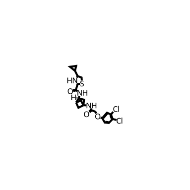 O=C(COc1ccc(Cl)c(Cl)c1)NC12CC(C1)[C@@H](NC(=O)C1NC(C3CC3)CS1)C2